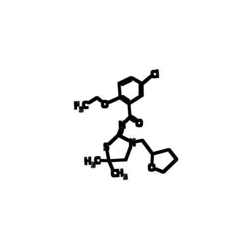 CC1(C)CN(CC2CCCO2)C(=NC(=O)c2cc(Cl)ccc2OCC(F)(F)F)S1